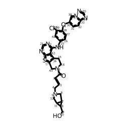 O=C(/C=C/CN1CC2C(CO)C2C1)N1CCc2c(sc3ncnc(Nc4ccc(Oc5ccc6ncnn6c5)c(Cl)c4)c23)C1